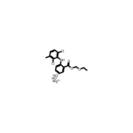 CCOCOC(=O)c1ccccc1Nc1c(Cl)ccc(C)c1Cl.[Mg+2].[OH-].[OH-]